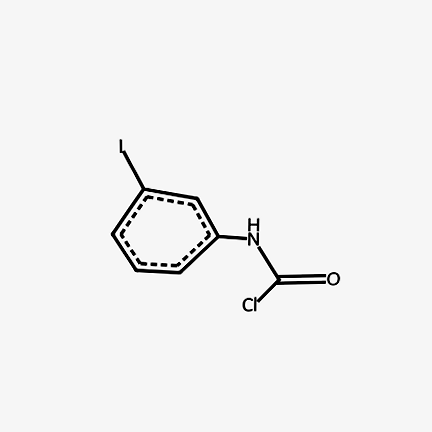 O=C(Cl)Nc1cccc(I)c1